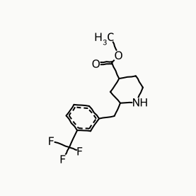 COC(=O)C1CCNC(Cc2cccc(C(F)(F)F)c2)C1